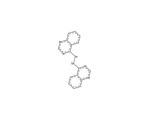 c1ccc2c([Se][Se]c3ncnc4ccccc34)ncnc2c1